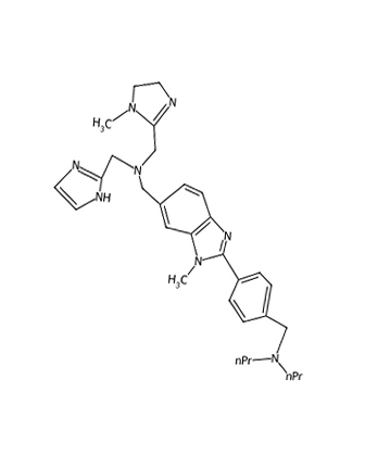 CCCN(CCC)Cc1ccc(-c2nc3ccc(CN(CC4=NCCN4C)Cc4ncc[nH]4)cc3n2C)cc1